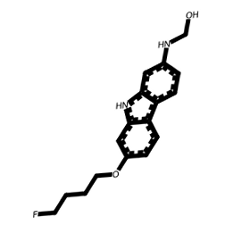 OCNc1ccc2c(c1)[nH]c1cc(OCCCCF)ccc12